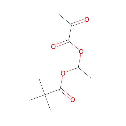 CC(=O)C(=O)OC(C)OC(=O)C(C)(C)C